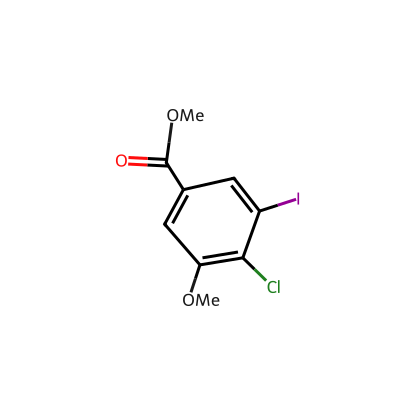 COC(=O)c1cc(I)c(Cl)c(OC)c1